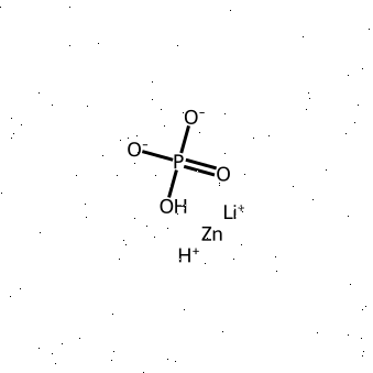 O=P([O-])([O-])O.[H+].[Li+].[Zn]